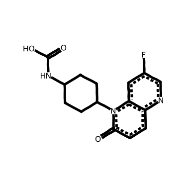 O=C(O)NC1CCC(n2c(=O)ccc3ncc(F)cc32)CC1